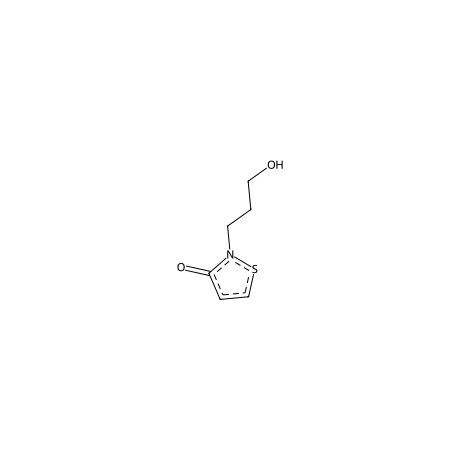 O=c1ccsn1CCCO